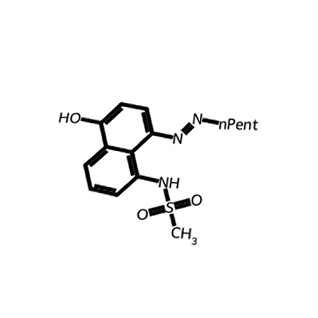 CCCCC/N=N/c1ccc(O)c2cccc(NS(C)(=O)=O)c12